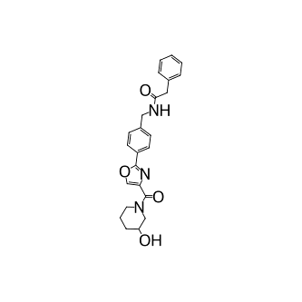 O=C(Cc1ccccc1)NCc1ccc(-c2nc(C(=O)N3CCCC(O)C3)co2)cc1